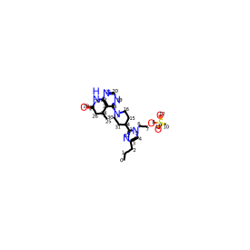 CCCc1cn(CCOS(C)(=O)=O)c(C2CCN(c3ncnc4c3C(C)CC(=O)N4)CC2)n1